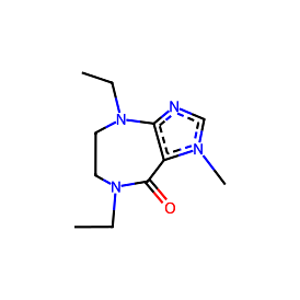 CCN1CCN(CC)c2ncn(C)c2C1=O